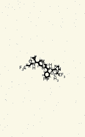 C[C@@H](n1ncnc1C(=O)N[C@H](c1cn2ncc(C(NC(=O)CCC(F)(F)F)C3CC3)cc2n1)C1CCC(F)(F)CC1)C(F)(F)F